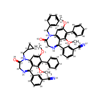 COc1cc2c(c(OC)c1-c1ccccc1)C(c1cccc(C#N)c1)=NCC(=O)N2CC1CC1.COc1cc2c(c(OC)c1-c1ccccc1)C(c1cccc(C#N)c1)=NCC(=O)N2Cc1ccccc1